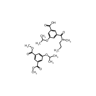 CCCN(C)C(=O)c1cc(OC(C)C)cc(C(=O)O)c1.COC(=O)c1cc(OC(C)C)cc(C(=O)OC)c1